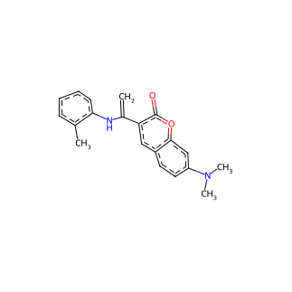 C=C(Nc1ccccc1C)c1cc2ccc(N(C)C)cc2oc1=O